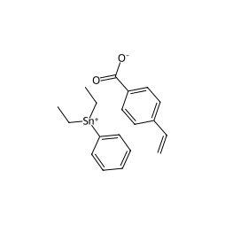 C=Cc1ccc(C(=O)[O-])cc1.C[CH2][Sn+]([CH2]C)[c]1ccccc1